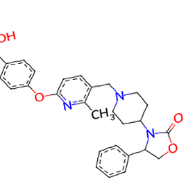 Cc1nc(Oc2ccc(CO)cc2)ccc1CN1CCC(N2C(=O)OCC2c2ccccc2)CC1